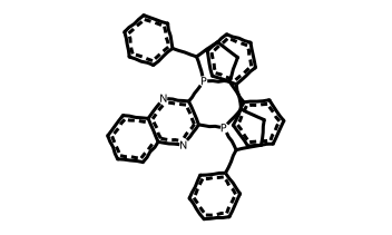 c1ccc(C2CCC(c3ccccc3)P2c2nc3ccccc3nc2P2C(c3ccccc3)CCC2c2ccccc2)cc1